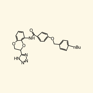 CCCCc1ccc(COc2ccc(C(=O)Nc3cccc4c3OC(c3nnn[nH]3)CO4)cc2)cc1